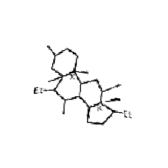 CCC1C(C)C2C3CCC(CC)[C@@]3(C)C(C)CC2[C@@]2(C)CCC(C)CC12C